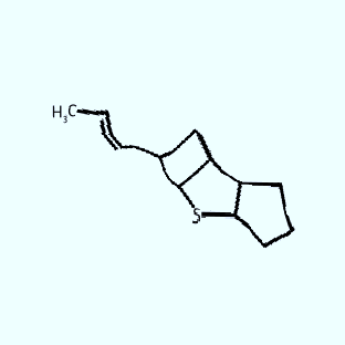 C/C=C/C1CC2C3CCCC3SC12